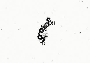 O=c1cc(C(F)(F)F)c2cc(Cc3ccc(S(=O)(=O)N4CCC(O)(c5cccs5)CC4)cc3)ccc2o1